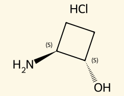 Cl.N[C@H]1CC[C@@H]1O